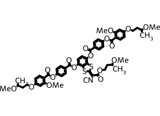 [C-]#[N+]C(C(=O)OCCC(C)OC)=C1Sc2c(OC(=O)c3ccc(OC(=O)c4ccc(OCCC(C)OC)cc4OC)cc3)ccc(OC(=O)c3ccc(OC(=O)c4ccc(OCCC(C)OC)cc4OC)cc3)c2S1